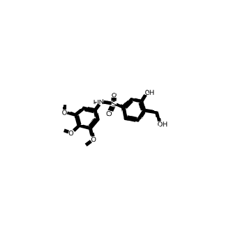 COc1cc(NS(=O)(=O)c2ccc(CO)c(O)c2)cc(OC)c1OC